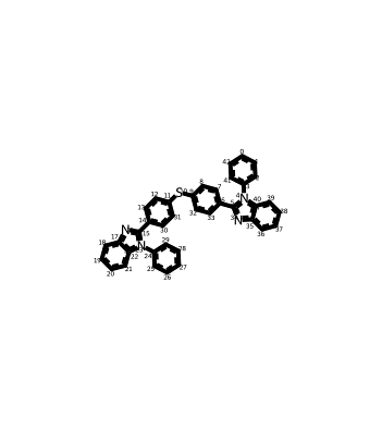 c1ccc(-n2c(-c3ccc(Sc4ccc(-c5nc6ccccc6n5-c5ccccc5)cc4)cc3)nc3ccccc32)cc1